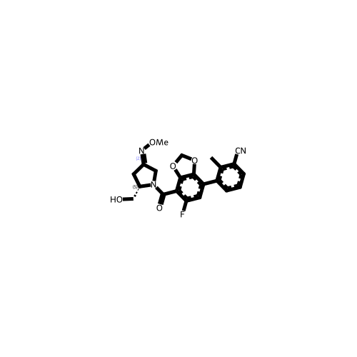 CO/N=C1/C[C@@H](CO)N(C(=O)c2c(F)cc(-c3cccc(C#N)c3C)c3c2OCO3)C1